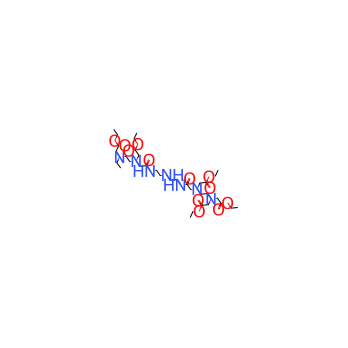 CCOC(=O)CN(CC)CCN(CC(=O)NCCNCCNC(=O)CN(CCN(CC(=O)OCC)CC(=O)OCC)CC(=O)OCC)CC(=O)OCC